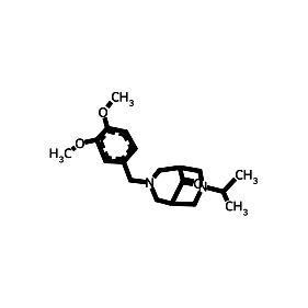 COc1ccc(CN2CC3CN(C(C)C)CC(C2)C3=O)cc1OC